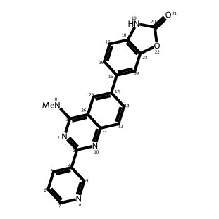 CNc1nc(-c2cccnc2)nc2ccc(-c3ccc4[nH]c(=O)oc4c3)cc12